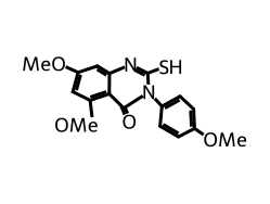 COc1ccc(-n2c(S)nc3cc(OC)cc(OC)c3c2=O)cc1